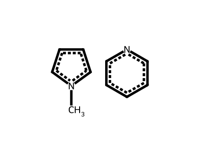 Cn1cccc1.c1ccncc1